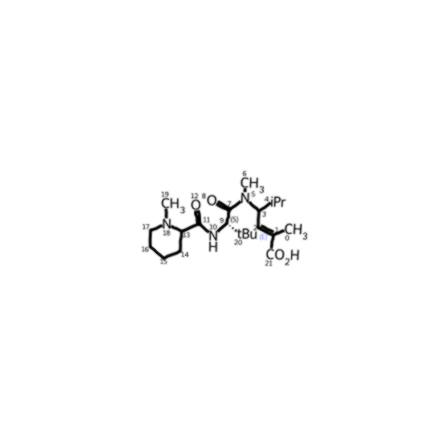 C/C(=C\C(C(C)C)N(C)C(=O)[C@@H](NC(=O)C1CCCCN1C)C(C)(C)C)C(=O)O